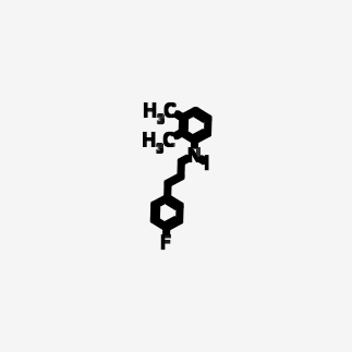 Cc1cccc(N(I)CCCc2ccc(F)cc2)c1C